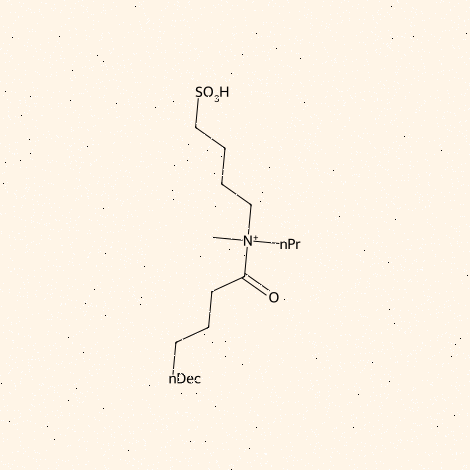 CCCCCCCCCCCCCC(=O)[N+](C)(CCC)CCCCS(=O)(=O)O